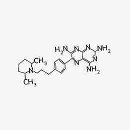 CC1CCCC(C)N1CCCc1ccc(-c2nc3c(N)nc(N)nc3nc2N)cc1